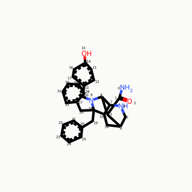 NC(=O)C1C2CNC3C1N(Cc1ccc(O)cc1)C(Cc1ccccc1)(Cc1ccccc1)C3C2